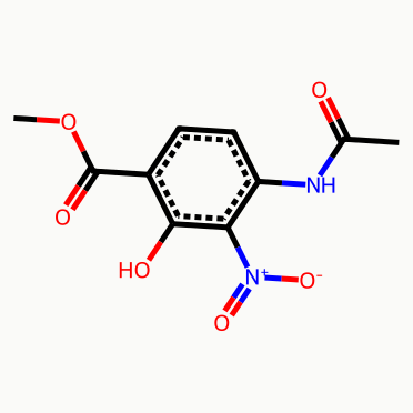 COC(=O)c1ccc(NC(C)=O)c([N+](=O)[O-])c1O